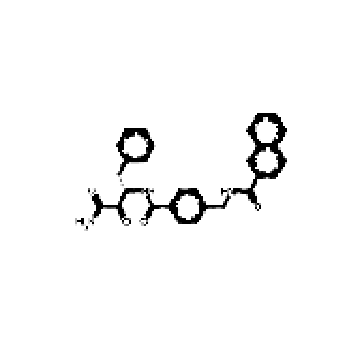 NC(=O)C(=O)[C@H](Cc1ccccc1)NC(=O)c1ccc(CNC(=O)c2ccc3ccccc3c2)cc1